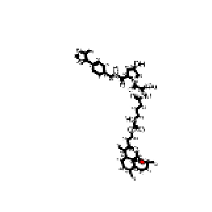 Cc1ncsc1-c1ccc(CNC(=O)C2CC(O)CN2C(=O)C(NC(=O)CCCNC(=O)OCCC2OC3OC4(C)CCC5C(C)CCC(C2C)C35OO4)C(C)(C)C)cc1